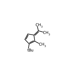 CC(C)=C1C=CC(C(C)(C)C)=C1C